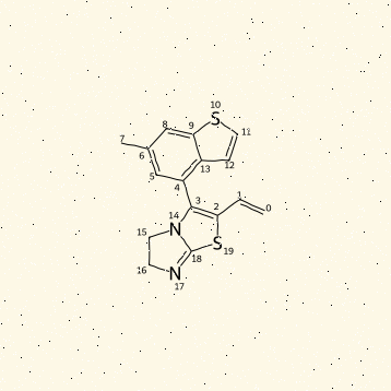 C=CC1=C(c2cc(C)cc3sccc23)N2CCN=C2S1